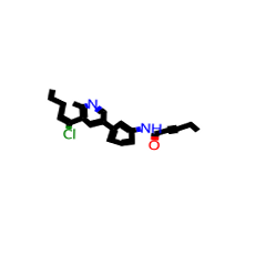 CCC#CC(=O)Nc1cccc(-c2cnc(C)c(/C(Cl)=C\CCC)c2)c1